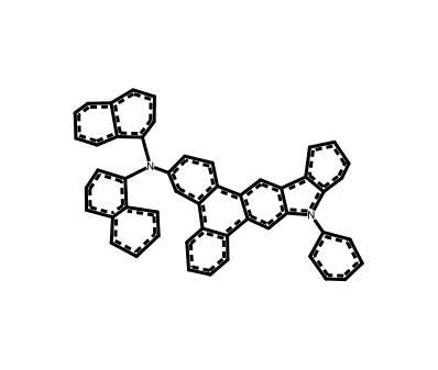 c1ccc(-n2c3ccccc3c3cc4c5ccc(N(c6cccc7ccccc67)c6cccc7ccccc67)cc5c5ccccc5c4cc32)cc1